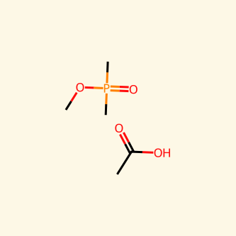 CC(=O)O.COP(C)(C)=O